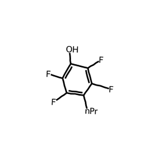 CCCc1c(F)c(F)c(O)c(F)c1F